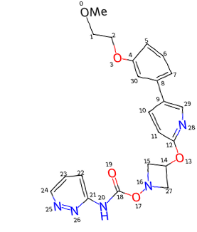 COCCOc1cccc(-c2ccc(OC3CN(OC(=O)Nc4cccnn4)C3)nc2)c1